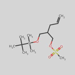 C=CCC(CO[Si](C)(C)C(C)(C)C)COS(C)(=O)=O